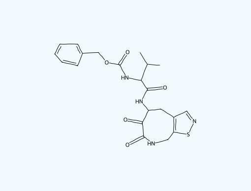 CC(C)C(NC(=O)OCc1ccccc1)C(=O)NC1Cc2cnsc2CNC(=O)C1=O